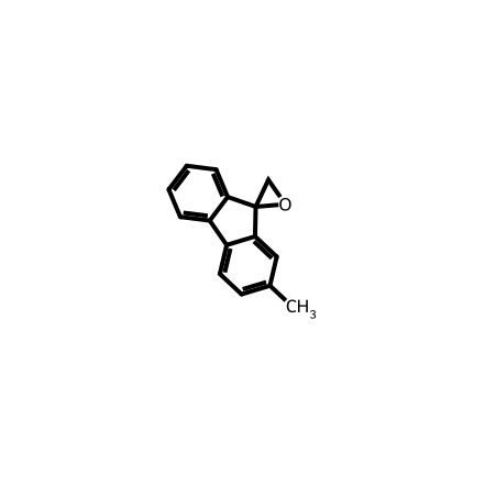 Cc1ccc2c(c1)C1(CO1)c1ccccc1-2